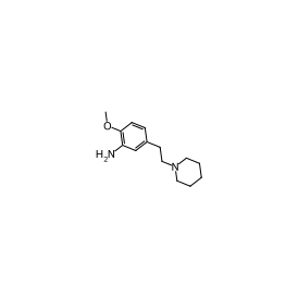 COc1ccc(CCN2CCCCC2)cc1N